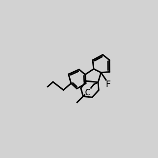 CCCc1ccc(C2C=CC=CC2(F)C23CCC(C)(CC2)CC3)cc1